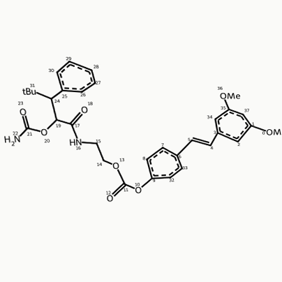 COc1cc(C=Cc2ccc(OC(=O)OCCNC(=O)C(OC(N)=O)C(c3ccccc3)C(C)(C)C)cc2)cc(OC)c1